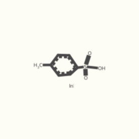 Cc1ccc(S(=O)(=O)O)cc1.[In]